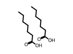 CCCCCCC(=O)O.CCCCCCC(=O)O